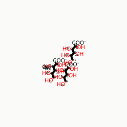 O=C([O-])[C@H](O)[C@@H](O)[C@H](O)[C@H](O)CO.O=C([O-])[C@H](O)[C@@H](O)[C@H](O)[C@H](O)CO.O=C([O-])[C@H](O)[C@@H](O)[C@H](O)[C@H](O)CO.[Ca+2].[Na+]